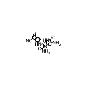 CC[C@@H](Nc1nnc(C(N)=O)c(Nc2ccc3c(c2)c(C#N)cn3C)n1)C(N)=O